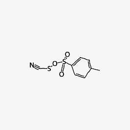 Cc1ccc(S(=O)(=O)OSC#N)cc1